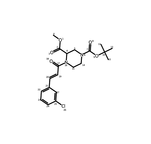 COC(=O)C1CN(C(=O)OC(C)(C)C)CCN1C(=O)C=Cc1cccc(Cl)c1